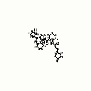 O=C(C=Cc1ccc(F)cc1)N[C@@H]1CCCC[C@@H]1C(=O)N1CC[C@@H]2[C@H](c3ncc[nH]3)Nc3ccccc3[C@@H]21